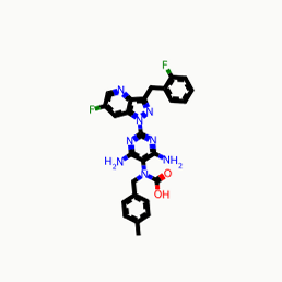 Cc1ccc(CN(C(=O)O)c2c(N)nc(-n3nc(Cc4ccccc4F)c4ncc(F)cc43)nc2N)cc1